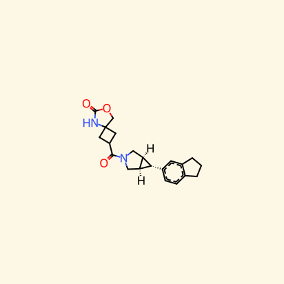 O=C1NC2(CO1)CC(C(=O)N1C[C@@H]3[C@H](C1)[C@H]3c1ccc3c(c1)CCC3)C2